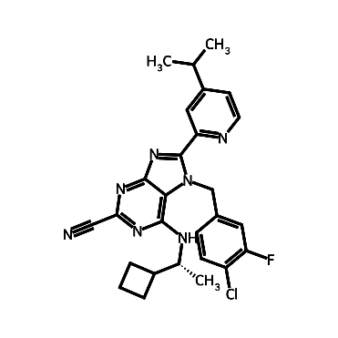 CC(C)c1ccnc(-c2nc3nc(C#N)nc(N[C@H](C)C4CCC4)c3n2Cc2ccc(Cl)c(F)c2)c1